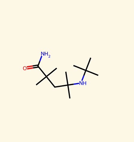 CC(C)(C)NC(C)(C)CC(C)(C)C(N)=O